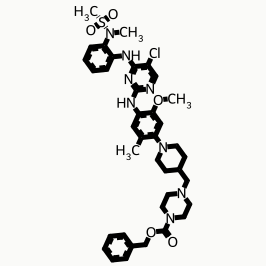 COc1cc(N2CCC(CN3CCN(C(=O)OCc4ccccc4)CC3)CC2)c(C)cc1Nc1ncc(Cl)c(Nc2ccccc2N(C)S(C)(=O)=O)n1